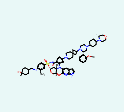 CC(C)Oc1ccccc1[C@H]1CN(C2CCC(N3CCOC[C@H]3C)CC2)CCN1C1CC2(CCN(c3ccc(C(=O)NS(=O)(=O)c4ccc(NCC5CCC(C)(O)CC5)c([N+](=O)[O-])c4)c(N4c5cc6cc[nH]c6nc5O[C@H]5COCC[C@@H]54)c3)CC2)C1